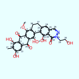 COc1c2c(c(O)c3c1C(=O)c1c(cc(O)c(C)c1O)C3=O)-c1c(cc3cnn(CCO)c(=O)c3c1O)CC2